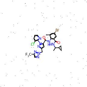 Cc1cc(Br)cc(C(=O)NC(C)C2CC2)c1NC(=O)c1cc(Cn2ncc(C(F)(F)F)n2)nn1-c1ncccc1Cl